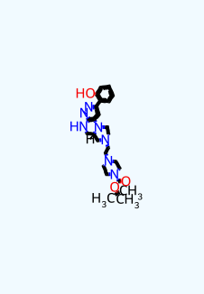 CC(C)(C)OC(=O)N1CCN(CCN2CCN3c4cc(-c5ccccc5O)nnc4NC[C@H]3C2)CC1